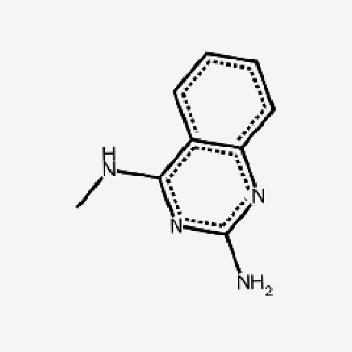 CNc1nc(N)nc2ccccc12